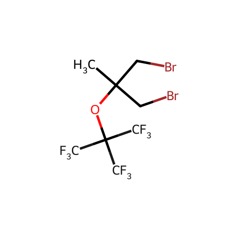 CC(CBr)(CBr)OC(C(F)(F)F)(C(F)(F)F)C(F)(F)F